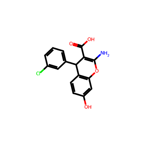 NC1=C(C(=O)O)C(c2cccc(Cl)c2)c2ccc(O)cc2O1